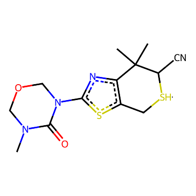 CN1COCN(c2nc3c(s2)C[SH]C(C#N)C3(C)C)C1=O